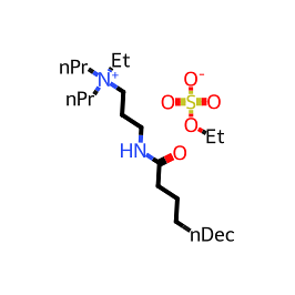 CCCCCCCCCCCCCC(=O)NCCC[N+](CC)(CCC)CCC.CCOS(=O)(=O)[O-]